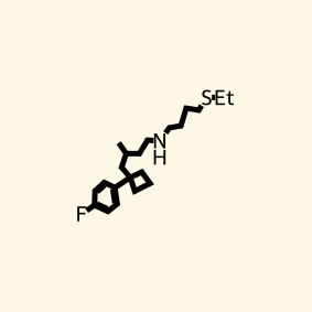 CCSCCCCNCCC(C)CC1(c2ccc(F)cc2)CCC1